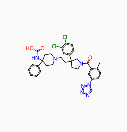 Cc1ccc(-n2cnnn2)cc1C(=O)N1CCC(CCN2CCC(NC(=O)O)(c3ccccc3)CC2)(c2ccc(Cl)c(Cl)c2)C1